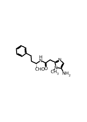 Cn1c(N)cnc1CC(=O)N[C@H](C=O)CCc1ccccc1